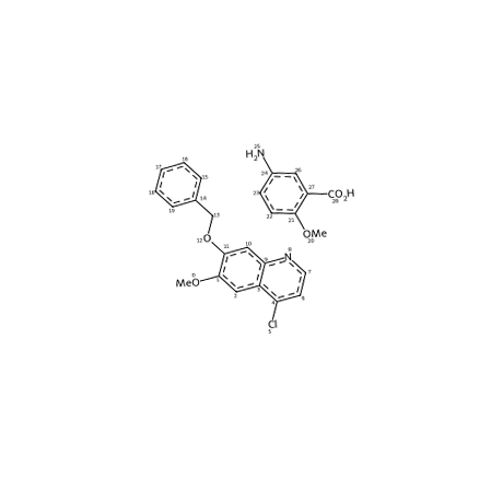 COc1cc2c(Cl)ccnc2cc1OCc1ccccc1.COc1ccc(N)cc1C(=O)O